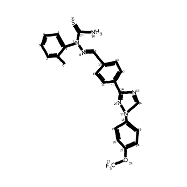 Cc1ccccc1N(/N=C/c1ccc(-c2ncn(-c3ccc(OC(F)(F)F)cc3)n2)cc1)C(N)=S